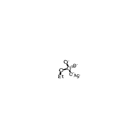 CCO[Cl+3]([O-])([O-])[O-].[Ag]